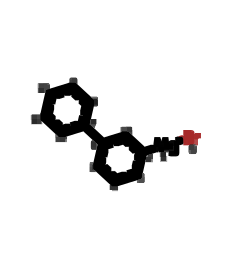 [Br][Mg][c]1cccc(-c2ccccc2)c1